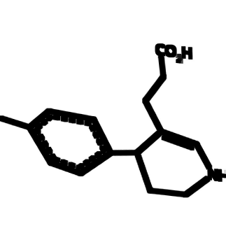 O=C(O)CCC1=CNCCC1c1ccc(F)cc1